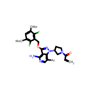 C=CC(=O)N1CC[C@H](n2nc(OCc3c(F)c(OC)cc(OC)c3F)c3c(N)ncc(C(C)=O)c32)C1